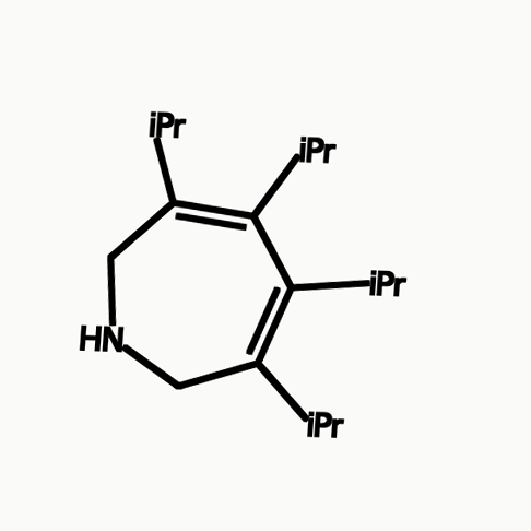 CC(C)C1=C(C(C)C)C(C(C)C)=C(C(C)C)CNC1